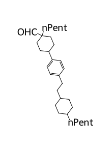 CCCCCC1CCC(CCc2ccc(C3CCC(C=O)(CCCCC)CC3)cc2)CC1